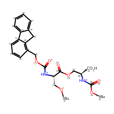 CC(C)(C)OC[C@H](NC(=O)OCc1cccc2c1Cc1ccccc1-2)C(=O)OC[C@H](NC(=O)OC(C)(C)C)C(=O)O